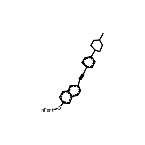 CCCCCOc1ccc2cc(C#Cc3ccc(C4CCC(C)CC4)cc3)ccc2c1